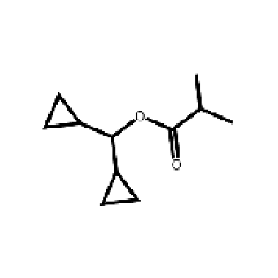 CC(C)C(=O)OC(C1CC1)C1CC1